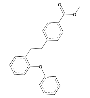 COC(=O)c1ccc(CCc2ccccc2Oc2ccccc2)cc1